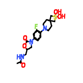 CC(=O)NCC1CN(c2ccc(N3CCC4(CC3)CS(O)(O)C4)c(F)c2)C(=O)O1